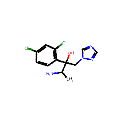 CC(N)C(O)(Cn1cncn1)c1ccc(Cl)cc1Cl